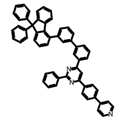 c1ccc(-c2nc(-c3ccc(-c4ccncc4)cc3)cc(-c3cccc(-c4cccc(-c5cccc6c5-c5ccccc5C6(c5ccccc5)c5ccccc5)c4)c3)n2)cc1